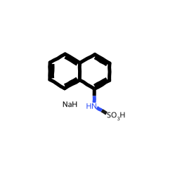 O=S(=O)(O)Nc1cccc2ccccc12.[NaH]